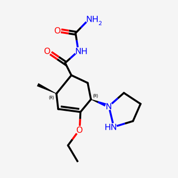 CCOC1=C[C@@H](C)C(C(=O)NC(N)=O)C[C@H]1N1CCCN1